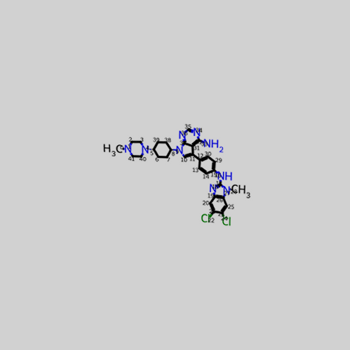 CN1CCN([C@H]2CC[C@H](n3cc(-c4ccc(Nc5nc6cc(Cl)c(Cl)cc6n5C)cc4)c4c(N)ncnc43)CC2)CC1